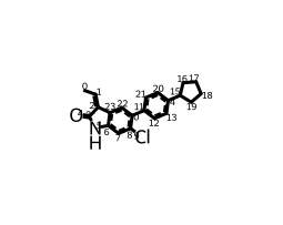 C/C=C1\C(=O)Nc2cc(Cl)c(-c3ccc(C4CCCC4)cc3)cc21